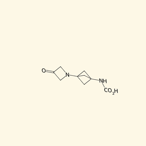 O=C1CN(C23CC(NC(=O)O)(C2)C3)C1